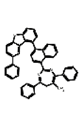 CC1=C(c2ccccc2)N=C(c2ccc(-c3cccc4oc5ccc(-c6ccccc6)cc5c34)c3ccccc23)N=C(c2ccccc2)C1